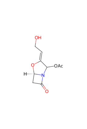 CC(=O)OC1/C(=C/CO)O[C@@H]2CC(=O)N12